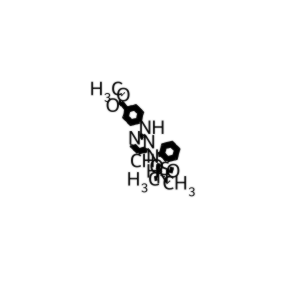 COC(=O)c1ccc(Nc2ncc(C)c(Nc3ccccc3S(=O)(=O)N(C)C)n2)cc1